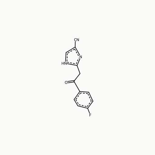 N#Cc1c[nH]c(CC(=O)c2ccc(F)cc2)n1